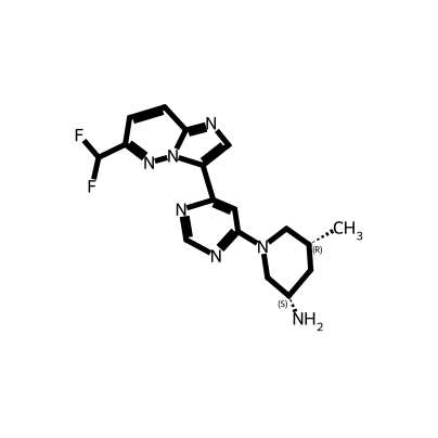 C[C@@H]1C[C@H](N)CN(c2cc(-c3cnc4ccc(C(F)F)nn34)ncn2)C1